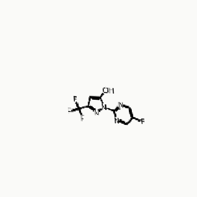 Oc1cc(C(F)(F)F)nn1-c1ncc(F)cn1